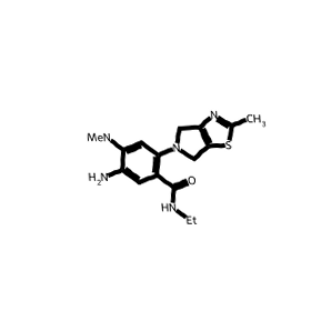 CCNC(=O)c1cc(N)c(NC)cc1N1Cc2nc(C)sc2C1